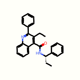 CCc1c(-c2ccccc2)nc2ccccc2c1C(=O)N[C@@H](CC)c1ccccc1